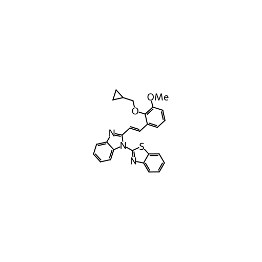 COc1cccc(C=Cc2nc3ccccc3n2-c2nc3ccccc3s2)c1OCC1CC1